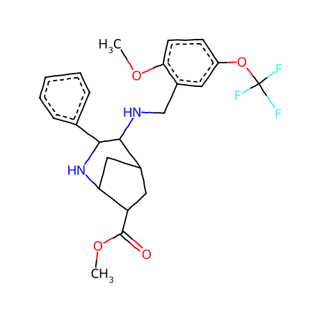 COC(=O)C1CC2CC1NC(c1ccccc1)C2NCc1cc(OC(F)(F)F)ccc1OC